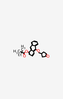 CCC(C)(C)C(=O)Oc1cccc2c(OCC3CC4OC4C3)c3ccccc3cc12